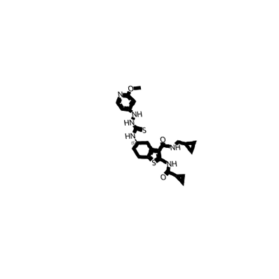 COc1cc(NNC(=S)N[C@H]2CCc3sc(NC(=O)C4CC4)c(C(=O)NCC4CC4)c3C2)ccn1